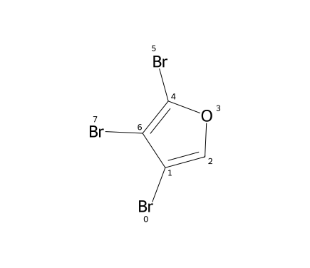 Brc1coc(Br)c1Br